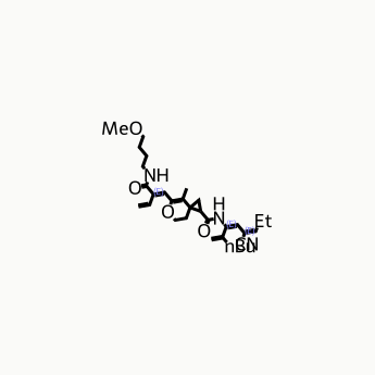 C=C/C(=C\C1=C(C)C2(CCO1)CC2C(=O)N/C(=C/C(C#N)=C\CC)C(=C)CCCC)C(=O)NCCCCOC